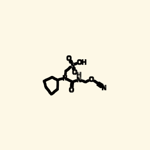 N#COCNC(=O)N(CS(=O)(=O)O)C1CCCCC1